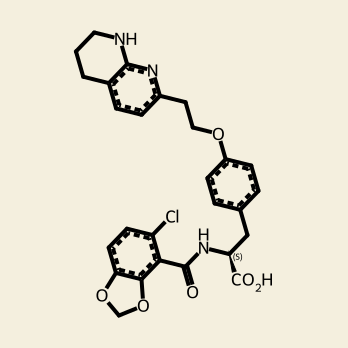 O=C(N[C@@H](Cc1ccc(OCCc2ccc3c(n2)NCCC3)cc1)C(=O)O)c1c(Cl)ccc2c1OCO2